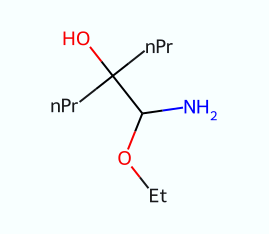 CCCC(O)(CCC)C(N)OCC